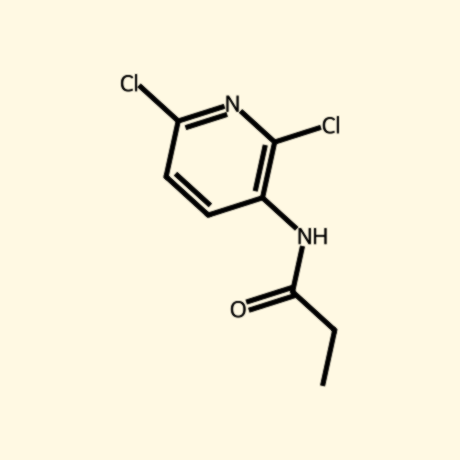 CCC(=O)Nc1ccc(Cl)nc1Cl